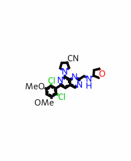 COc1cc(OC)c(Cl)c(-c2cc3cnc(CN[C@H]4CCOC4)nc3c(N3CCC(C#N)C3)n2)c1Cl